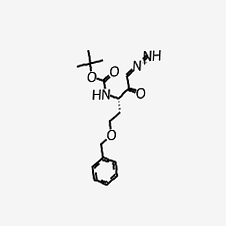 CC(C)(C)OC(=O)N[C@@H](CCOCc1ccccc1)C(=O)C=[N+]=N